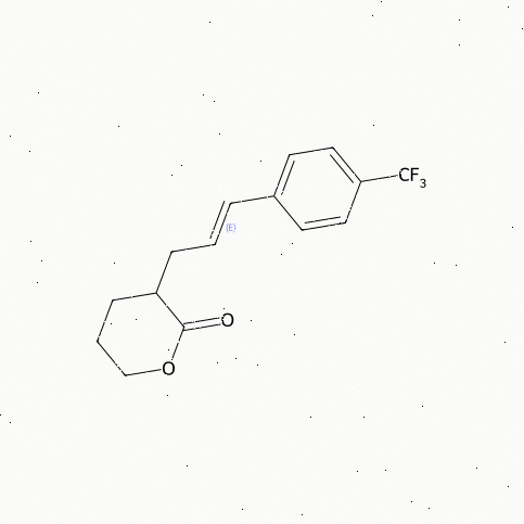 O=C1OCCCC1C/C=C/c1ccc(C(F)(F)F)cc1